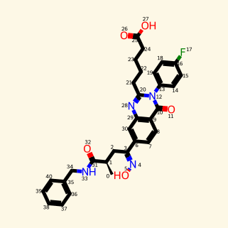 C[C@H](C/C(=N\O)c1ccc2c(=O)n(-c3ccc(F)cc3)c(CCCCC(=O)O)nc2c1)C(=O)NCc1ccccc1